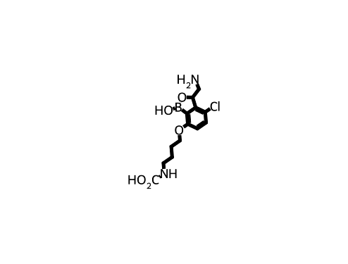 NCC1OB(O)c2c(OCCCCNC(=O)O)ccc(Cl)c21